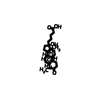 CN1C(=O)CC[C@]2(C)[C@H]3CC[C@@]4(C)[C@@H](CC[C@@]4(O)CCCCC(=O)O)[C@@H]3CC[C@@H]12